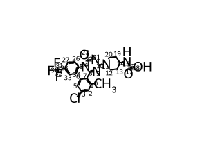 Cc1cc(Cl)ccc1-c1nc(N2CCC(NC(=O)O)CC2)nc(=O)n1-c1ccc(C(F)(F)F)cc1